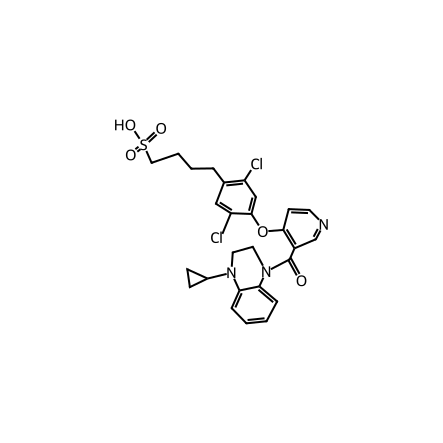 O=C(c1cnccc1Oc1cc(Cl)c(CCCCS(=O)(=O)O)cc1Cl)N1CCN(C2CC2)c2ccccc21